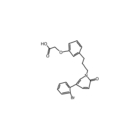 O=C(O)COc1cccc(CCCn2cc(-c3ccccc3Br)ccc2=O)c1